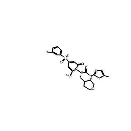 Cc1cc(S(=O)(=O)c2cccc(F)c2)cc(=O)n1[C@@H](CC1CCOCC1)C(=O)Nc1ncc(F)s1